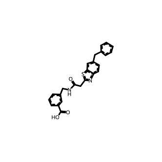 O=C(Cc1nc2ccc(Cc3ccccc3)cc2s1)NCc1cccc(C(=O)O)c1